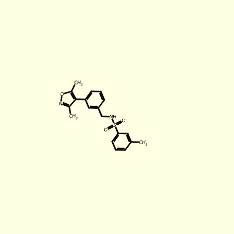 Cc1cccc(S(=O)(=O)NCc2cccc(-c3c(C)noc3C)c2)c1